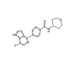 O=C(NC1CCOCC1)c1ccc(-c2ncc(F)c3[nH]ccc23)cc1